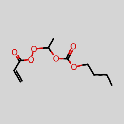 C=CC(=O)OOC(C)OC(=O)OCCCC